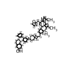 Cc1sc2c(c1C)C(c1ccc(CC3CC4(CCN(c5ccc([C@@H]6c7ccc(O)cc7CC[C@@H]6c6ccccc6)cc5)CC4)C3)cc1)=NC(Cc1ncco1)c1nnc(C)n1-2